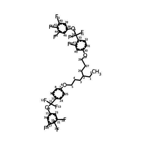 CCC(CCCOc1ccc(C(F)(F)Oc2cc(F)c(F)c(F)c2)cc1)CCCOc1ccc(C(F)(F)Oc2cc(F)c(F)c(F)c2)c(F)c1